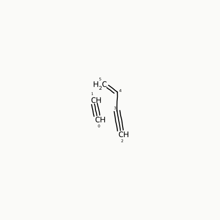 C#C.C#CC=C